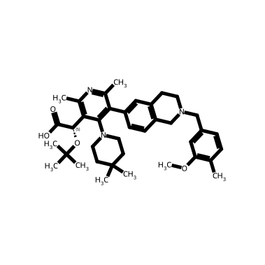 COc1cc(CN2CCc3cc(-c4c(C)nc(C)c([C@H](OC(C)(C)C)C(=O)O)c4N4CCC(C)(C)CC4)ccc3C2)ccc1C